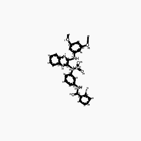 COc1cc(Nc2nc3ccccc3nc2N(c2cccc(NC(=O)c3ccccc3F)c2)[SH](=O)=O)cc(OC)c1